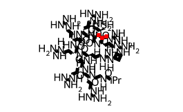 CC(C)C(=O)NCC(=O)N[C@H](CCCNC(=N)N)C(=O)N[C@H](CCCNC(=N)N)C(=O)N[C@H](CCCNC(=N)NC1CCC1)C(=O)N[C@H](CCCNC(=N)N)C(=O)N[C@H](CCCNC(=N)N)C(=O)N[C@H](CCCNC(=N)N)C(=O)N[C@H](CCCNC(=N)N)C(=O)N[C@H](CCCNC(=N)N)C(=O)N[C@H](CS)C(N)=O